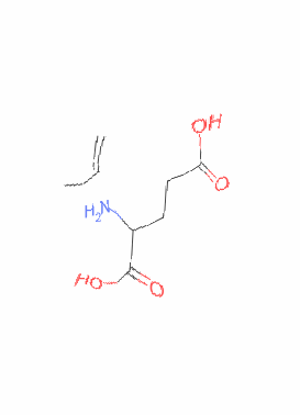 C=CC.NC(CCC(=O)O)C(=O)O